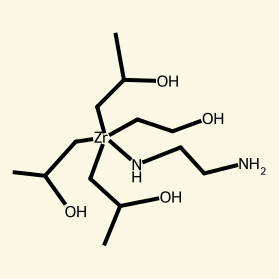 CC(O)[CH2][Zr]([CH2]CO)([CH2]C(C)O)([CH2]C(C)O)[NH]CCN